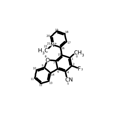 Cc1c(F)c(C#N)c2c(oc3ccccc32)c1-c1cccc[n+]1C